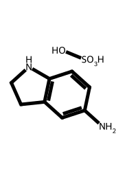 Nc1ccc2c(c1)CCN2.O=S(=O)(O)O